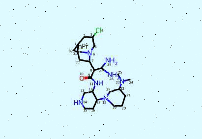 CCCC12CC(Cl)CN3C(C(C(=O)NC4CNCCC4N4CCCC(N(C)C)C4)C(N)N)CC31C2